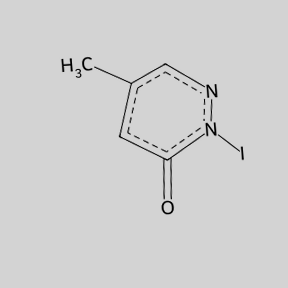 Cc1cnn(I)c(=O)c1